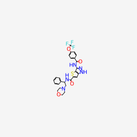 O=C(Nc1n[nH]c2cc(C(=O)NC(CN3CCOCC3)c3ccccc3)sc12)c1ccc(OC(F)(F)F)cc1